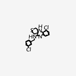 Clc1cccc(CNC2=Nc3cccc(Cl)c3NC23CCSCC3)c1